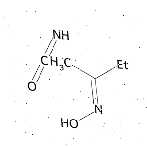 CCC(C)=NO.N=C=O